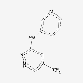 FC(F)(F)c1cnnc(Nc2cccnc2)c1